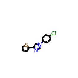 Clc1ccc(-n2cnc(-c3cccs3)c2)cc1